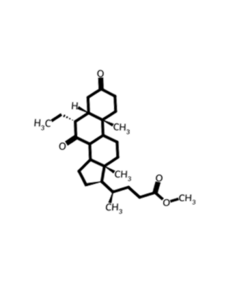 CC[C@H]1C(=O)C2C3CC[C@H]([C@H](C)CCC(=O)OC)[C@@]3(C)CCC2[C@@]2(C)CCC(=O)C[C@@H]12